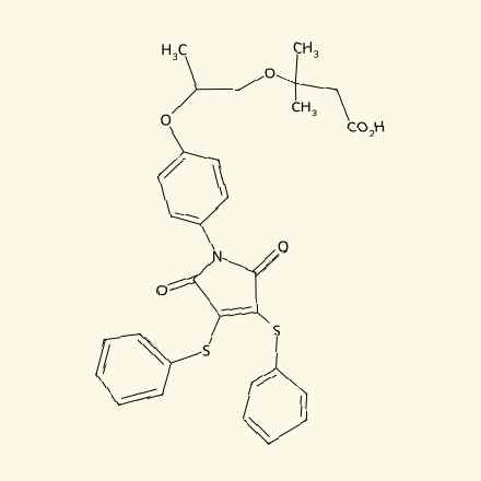 CC(COC(C)(C)CC(=O)O)Oc1ccc(N2C(=O)C(Sc3ccccc3)=C(Sc3ccccc3)C2=O)cc1